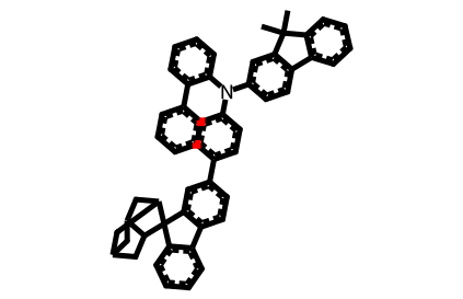 CC1(C)c2ccccc2-c2ccc(N(c3ccc(-c4ccc5c(c4)C4(c6ccccc6-5)C5CC6CC(C5)C4C6)cc3)c3ccccc3-c3ccccc3)cc21